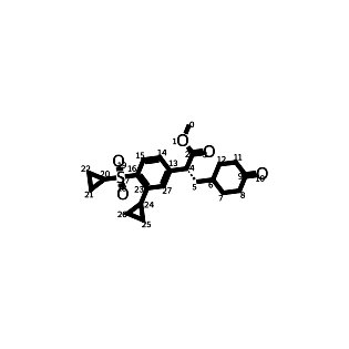 COC(=O)[C@H](CC1CCC(=O)CC1)c1ccc(S(=O)(=O)C2CC2)c(C2CC2)c1